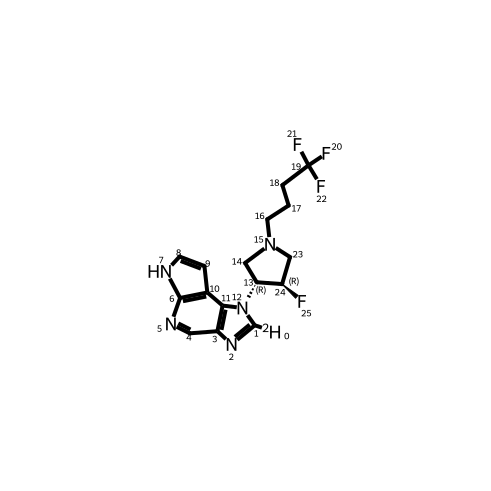 [2H]c1nc2cnc3[nH]ccc3c2n1[C@@H]1CN(CCCC(F)(F)F)C[C@H]1F